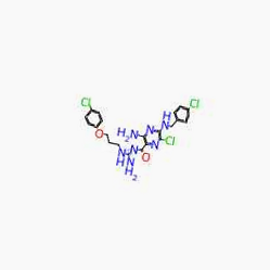 N/C(=N\C(=O)c1nc(Cl)c(NCc2ccc(Cl)cc2)nc1N)NCCCOc1ccc(Cl)cc1